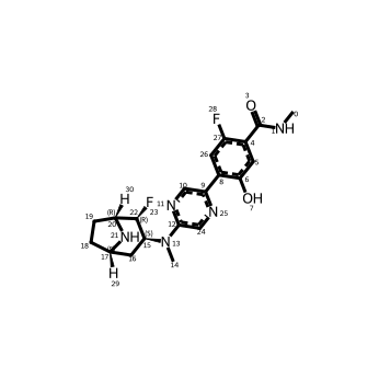 CNC(=O)c1cc(O)c(-c2cnc(N(C)[C@H]3C[C@@H]4CC[C@@H](N4)[C@H]3F)cn2)cc1F